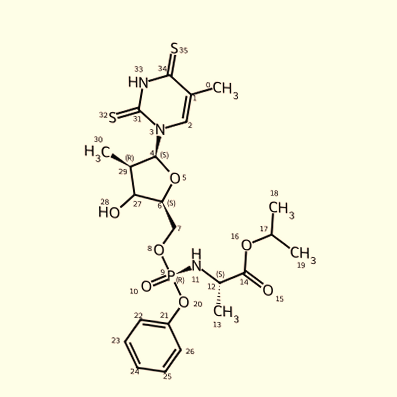 Cc1cn([C@H]2O[C@@H](CO[P@](=O)(N[C@@H](C)C(=O)OC(C)C)Oc3ccccc3)C(O)[C@H]2C)c(=S)[nH]c1=S